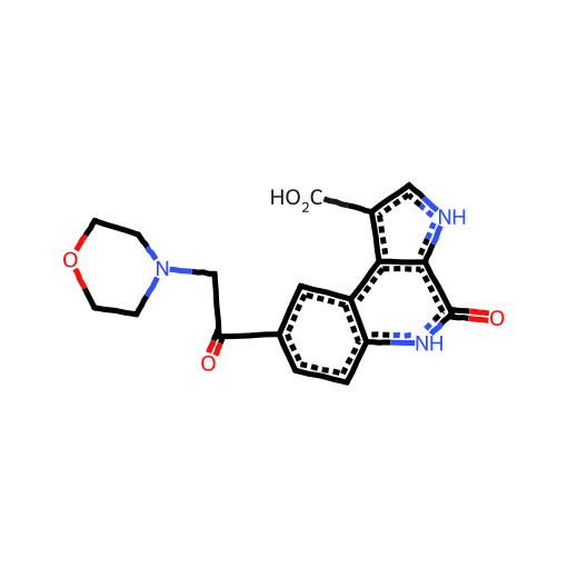 O=C(CN1CCOCC1)c1ccc2[nH]c(=O)c3[nH]cc(C(=O)O)c3c2c1